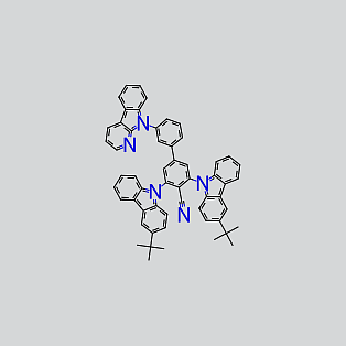 CC(C)(C)c1ccc2c(c1)c1ccccc1n2-c1cc(-c2cccc(-n3c4ccccc4c4cccnc43)c2)cc(-n2c3ccccc3c3cc(C(C)(C)C)ccc32)c1C#N